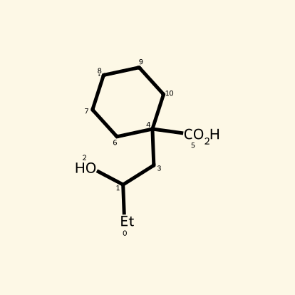 CCC(O)CC1(C(=O)O)CC[CH]CC1